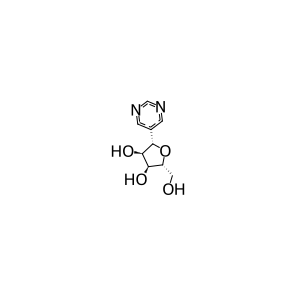 OC[C@H]1O[C@@H](c2cncnc2)[C@H](O)[C@@H]1O